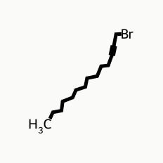 CCCCCCCCCCCC#CCBr